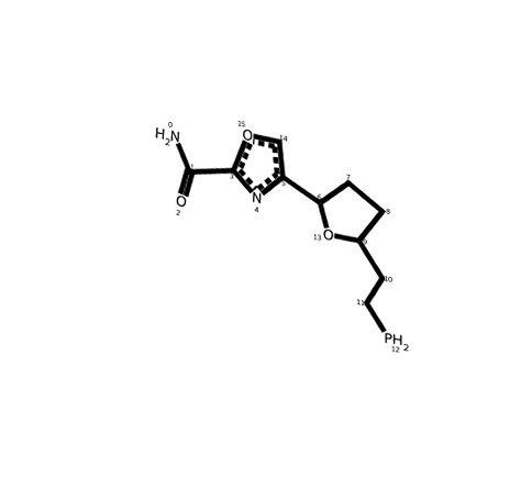 NC(=O)c1nc(C2CCC(CCP)O2)co1